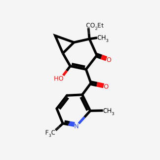 CCOC(=O)C1(C)C(=O)C(C(=O)c2ccc(C(F)(F)F)nc2C)=C(O)C2CC21